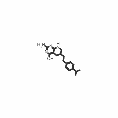 CC(C)c1ccc(CCC2CNc3nc(N)nc(O)c3C2)cc1